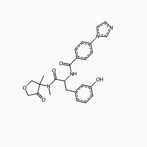 CN(C(=O)C(Cc1cccc(O)c1)NC(=O)c1ccc(-n2ccnc2)cc1)C1(C)COCC1=O